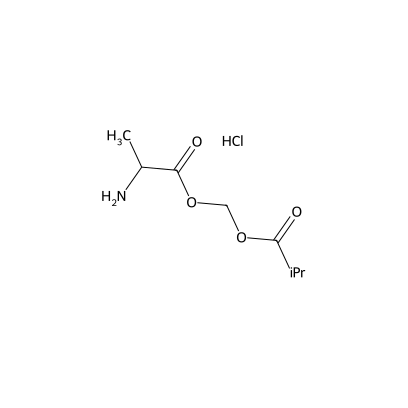 CC(C)C(=O)OCOC(=O)C(C)N.Cl